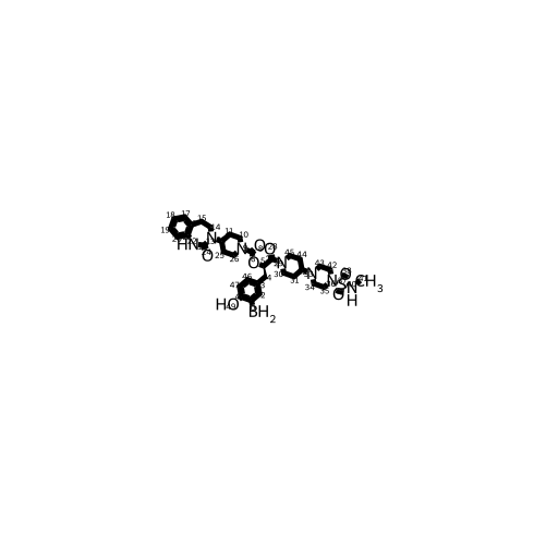 Bc1cc(C[C@@H](OC(=O)N2CCC(N3CCc4ccccc4NC3=O)CC2)C(=O)N2CCC(N3CCN(S(=O)(=O)NC)CC3)CC2)ccc1O